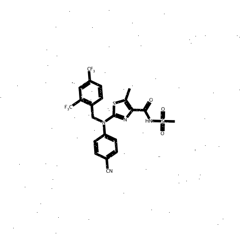 Cc1sc(N(Cc2ccc(C(F)(F)F)cc2C(F)(F)F)c2ccc(C#N)cc2)nc1C(=O)NS(C)(=O)=O